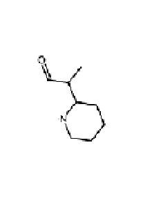 CC(C=O)C1CCCC[N]1